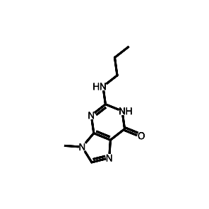 CCCNc1nc2c(ncn2C)c(=O)[nH]1